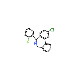 Fc1ccccc1C1=NCc2ccccc2-c2cc(Cl)ccc21